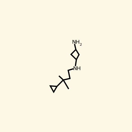 CC(C)(CCNC1CC(N)C1)C1CC1